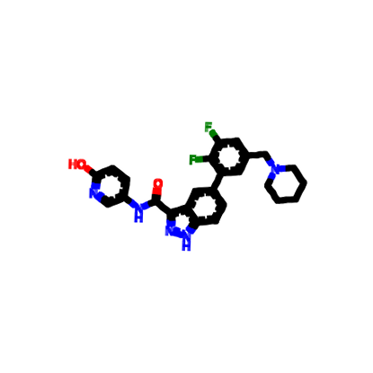 O=C(Nc1ccc(O)nc1)c1n[nH]c2ccc(-c3cc(CN4CCCCC4)cc(F)c3F)cc12